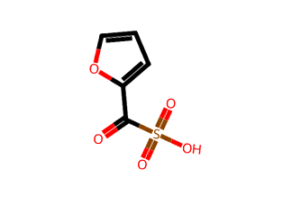 O=C(c1ccco1)S(=O)(=O)O